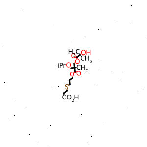 CC(C)OCC(C)(COC(=O)C(C)(C)O)C(=O)OCCCSCCC(=O)O